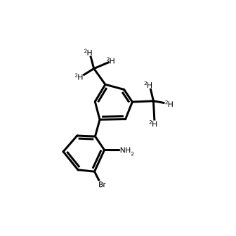 [2H]C([2H])([2H])c1cc(-c2cccc(Br)c2N)cc(C([2H])([2H])[2H])c1